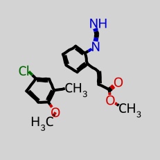 COC(=O)/C=C/c1ccccc1N=C=N.COc1ccc(Cl)cc1C